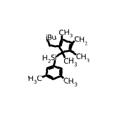 CCC(C)CC1=C(C)C(C)=C(C)C1(C)[SiH2]c1cc(C)cc(C)c1